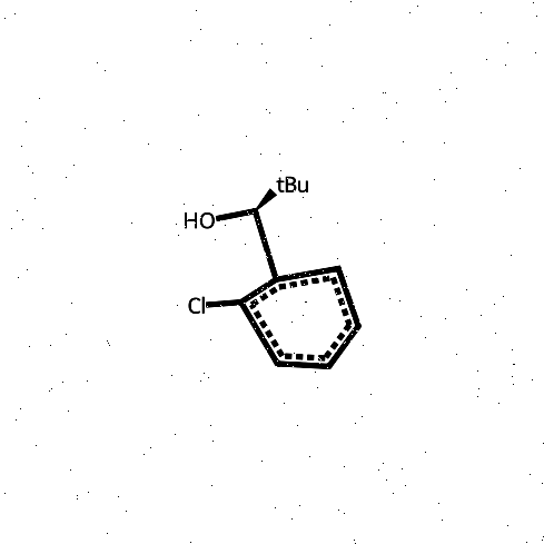 CC(C)(C)[C@H](O)c1ccccc1Cl